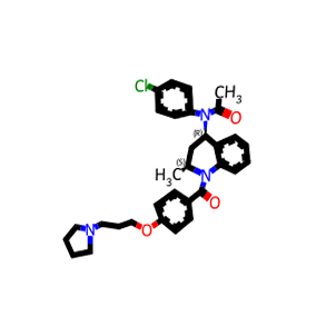 CC(=O)N(c1ccc(Cl)cc1)[C@@H]1C[C@H](C)N(C(=O)c2ccc(OCCCN3CCCC3)cc2)c2ccccc21